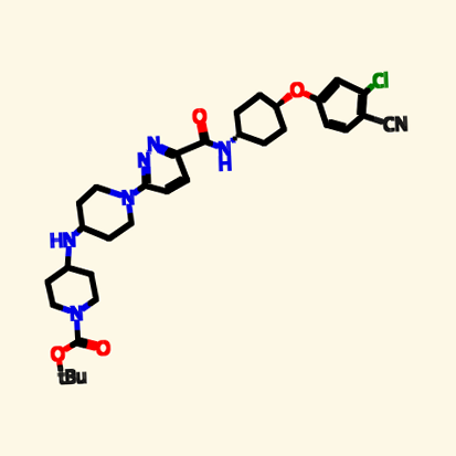 CC(C)(C)OC(=O)N1CCC(NC2CCN(c3ccc(C(=O)N[C@H]4CC[C@H](Oc5ccc(C#N)c(Cl)c5)CC4)nn3)CC2)CC1